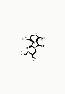 CCOC(O)CN1C(=N)C2=C(N)CCC(N)=C2C1=O